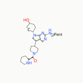 CCC[C@H](C)Nc1ncc2c(C3CCN(C(=O)[C@@H]4CCCCN4)CC3)cn([C@H]3CC[C@H](O)CC3)c2n1